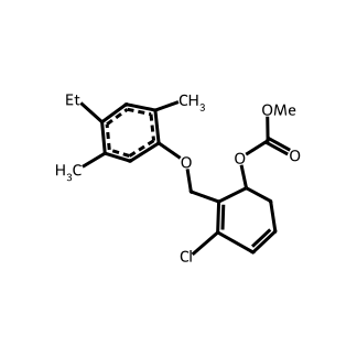 CCc1cc(C)c(OCC2=C(Cl)C=CCC2OC(=O)OC)cc1C